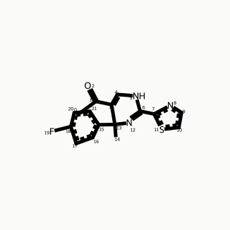 CC(=O)C1=CNC(c2nccs2)=NC1(C)c1ccc(F)cc1